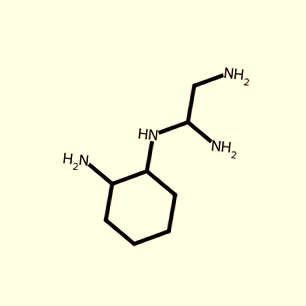 NCC(N)NC1CCCCC1N